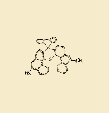 Cc1cc2ccc3c(c2c2ccccc12)Sc1c(ccc2cc(S)c4ccccc4c12)C31c2ccccc2-c2ccccc21